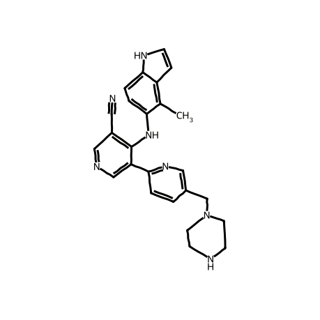 Cc1c(Nc2c(C#N)cncc2-c2ccc(CN3CCNCC3)cn2)ccc2[nH]ccc12